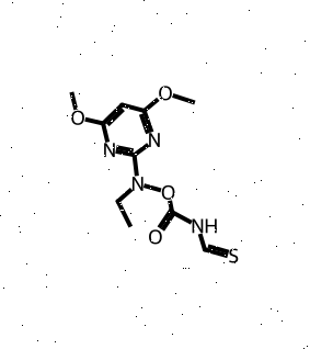 CCN(OC(=O)NC=S)c1nc(OC)cc(OC)n1